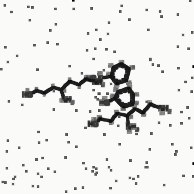 NCCCC(N)CCCO.NCCCC(N)CCCO.O=C(O)c1ccccc1.Oc1ccccc1